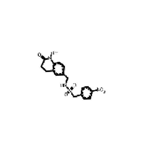 CCCN1C(=O)CCc2cc(CNS(=O)(=O)Cc3ccc([N+](=O)[O-])cc3)ccc21